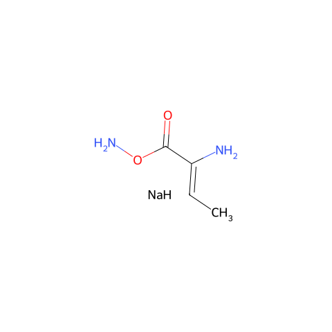 CC=C(N)C(=O)ON.[NaH]